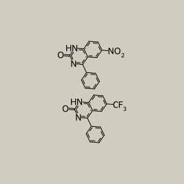 O=c1nc(-c2ccccc2)c2cc(C(F)(F)F)ccc2[nH]1.O=c1nc(-c2ccccc2)c2cc([N+](=O)[O-])ccc2[nH]1